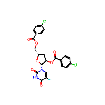 O=C(OC[C@@H]1C[C@@H](OC(=O)c2ccc(Cl)cc2)[C@H](n2cc(F)c(=O)[nH]c2=O)O1)c1ccc(Cl)cc1